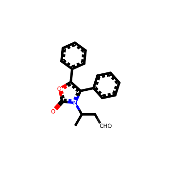 CC(CC=O)n1c(-c2ccccc2)c(-c2ccccc2)oc1=O